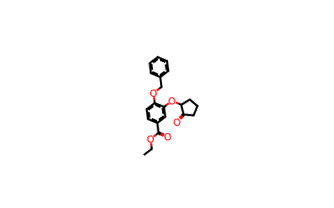 CCOC(=O)c1ccc(OCc2ccccc2)c(OC2CCCC2=O)c1